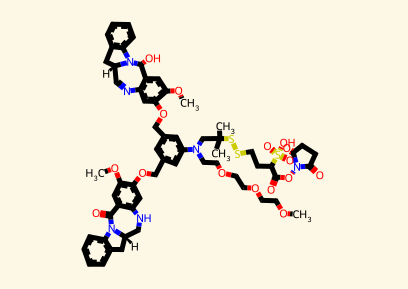 COCCOCCOCCN(CC(C)(C)SSCCC(C(=O)ON1C(=O)CCC1=O)S(=O)(=O)O)c1cc(COc2cc3c(cc2OC)C(O)N2c4ccccc4C[C@H]2C=N3)cc(COc2cc3c(cc2OC)C(=O)N2c4ccccc4C[C@H]2CN3)c1